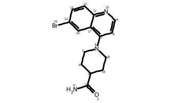 NC(=O)C1CCN(c2ccnc3ccc(Br)cc23)CC1